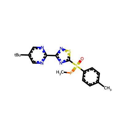 CP=S(=O)(c1ccc(C)cc1)c1nc(-c2ncc(C(C)(C)C)cn2)ns1